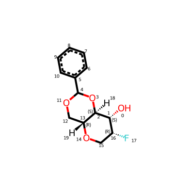 O[C@H]1[C@@H]2OC(c3ccccc3)OC[C@H]2OC[C@H]1F